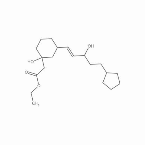 CCOC(=O)CC1(O)CCCC(/C=C/C(O)CCC2CCCC2)C1